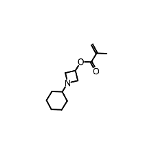 C=C(C)C(=O)OC1CN(C2CCCCC2)C1